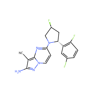 N#Cc1c(N)nn2ccc(N3C[C@@H](F)C[C@@H]3c3cc(F)ccc3F)nc12